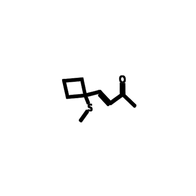 CSC1(/C=C/C(C)=O)CCC1